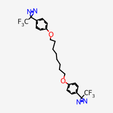 FC(F)(F)C1(c2ccc(OCCCCCCCCOc3ccc(C4(C(F)(F)F)N=N4)cc3)cc2)N=N1